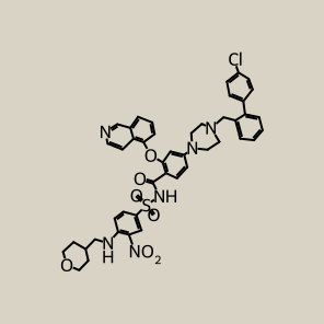 O=C(NS(=O)(=O)c1ccc(NCC2CCOCC2)c([N+](=O)[O-])c1)c1ccc(N2CCN(Cc3ccccc3-c3ccc(Cl)cc3)CC2)cc1Oc1cccc2cnccc12